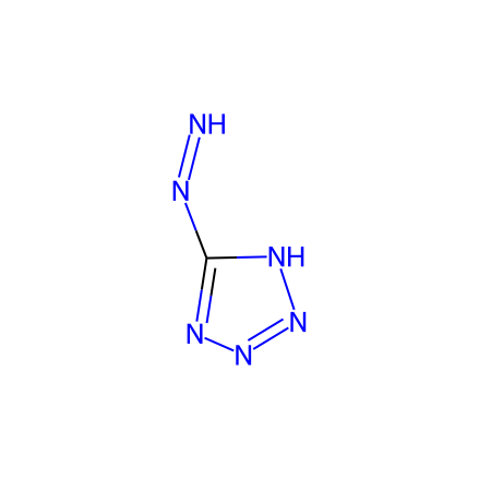 N=Nc1nnn[nH]1